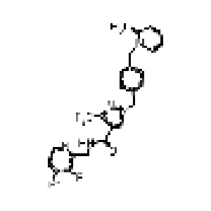 C=C1C=CC=CN1Cc1ccc(Cn2cc(C(=O)NCc3nccc(CC)c3F)c(C(F)(F)F)n2)cc1